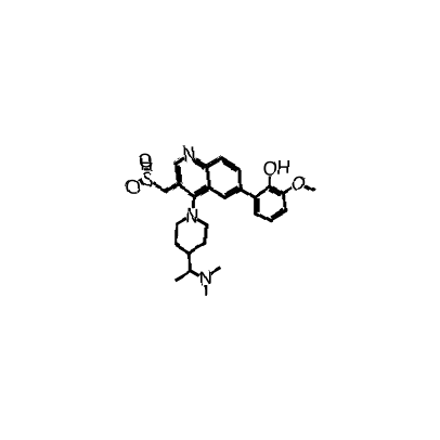 COc1cccc(-c2ccc3ncc(C[SH](=O)=O)c(N4CCC(C(C)N(C)C)CC4)c3c2)c1O